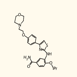 CC(C)Oc1ccc(C(N)=O)cc1Nc1nc(-c2ccc(OCCN3CCOCC3)cc2)cs1